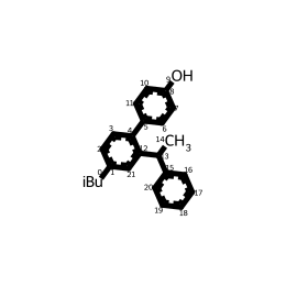 CCC(C)c1ccc(-c2ccc(O)cc2)c(C(C)c2ccccc2)c1